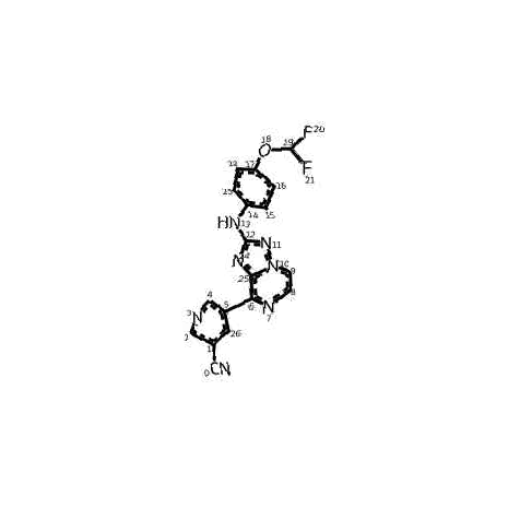 N#Cc1cncc(-c2nccn3nc(Nc4ccc(OC(F)F)cc4)nc23)c1